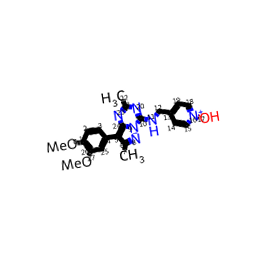 COc1ccc(-c2c(C)nn3c(NCc4cc[n+](O)cc4)nc(C)nc23)cc1OC